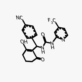 N#Cc1ccc(C(NC(=O)Nc2cc(C(F)(F)F)ccn2)C2=C(O)CCCC2=O)cc1